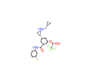 O=C(Nc1cccc(F)c1)c1cccc([C@@H]2C[C@H]2NCC2CC2)c1.O=C(O)C(F)(F)F